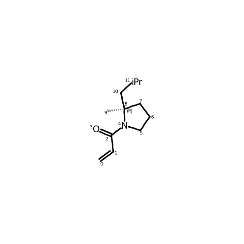 C=CC(=O)N1CCC[C@]1(C)CC(C)C